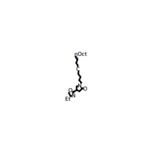 CCCCCCCC/C=C/CCCCCCCCN1CC(C2=NC(CC)CO2)CC1=O